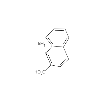 B.O=C(O)c1ccc2ccccc2n1